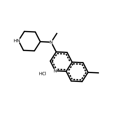 Cc1ccc2ncc(N(C)C3CCNCC3)cc2c1.Cl